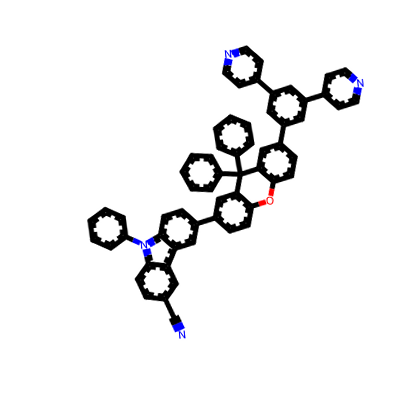 N#Cc1ccc2c(c1)c1cc(-c3ccc4c(c3)C(c3ccccc3)(c3ccccc3)c3cc(-c5cc(-c6ccncc6)cc(-c6ccncc6)c5)ccc3O4)ccc1n2-c1ccccc1